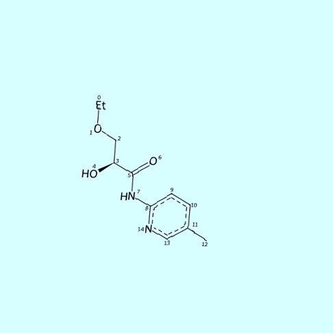 CCOC[C@H](O)C(=O)Nc1ccc(C)cn1